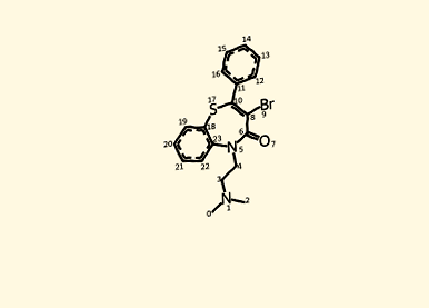 CN(C)CCN1C(=O)C(Br)=C(c2ccccc2)Sc2ccccc21